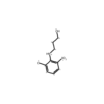 O=[N+]([O-])c1cccc(Cl)c1NCCCO